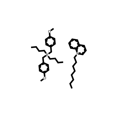 CCCCCCCC[n+]1cccc2ccccc21.CCCC[B-](CCCC)(Cc1ccc(OC)cc1)Cc1ccc(OC)cc1